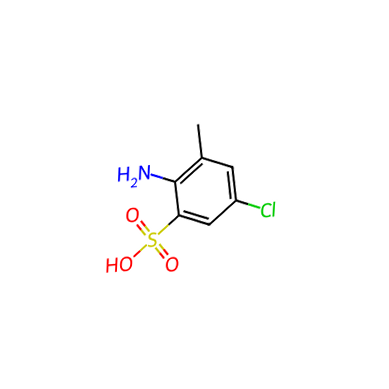 Cc1cc(Cl)cc(S(=O)(=O)O)c1N